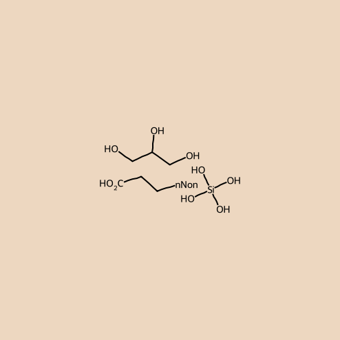 CCCCCCCCCCCC(=O)O.OCC(O)CO.O[Si](O)(O)O